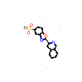 CCS(=O)(=O)c1ccc2oc(-c3cc4ccccc4cn3)nc2c1